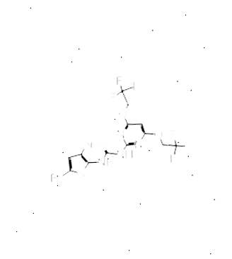 O=C(Nc1nc(OCC(F)(F)F)cc(OCC(F)(F)F)n1)Nc1sc(Br)cc1Br